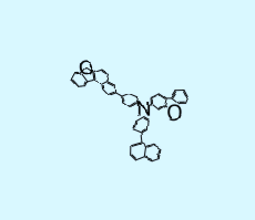 C1=C(c2ccc3c(ccc4oc5ccccc5c43)c2)CCC(N(c2ccc(-c3cccc4ccccc34)cc2)c2ccc3c(c2)oc2ccccc23)=C1